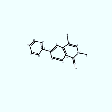 Cn1cc(I)c2cc(-c3ccccc3)ccc2c1=O